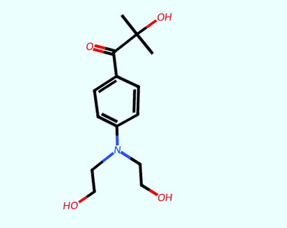 CC(C)(O)C(=O)c1ccc(N(CCO)CCO)cc1